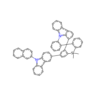 C[Si]1(C)c2ccccc2C2(c3ccccc3-n3c4ccccc4c4cccc2c43)c2cc(-c3ccc4c(c3)c3ccccc3n4-c3ccc4ccccc4c3)ccc21